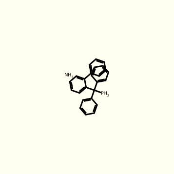 N.PC(c1ccccc1)(c1ccccc1)c1ccccc1-c1ccccc1